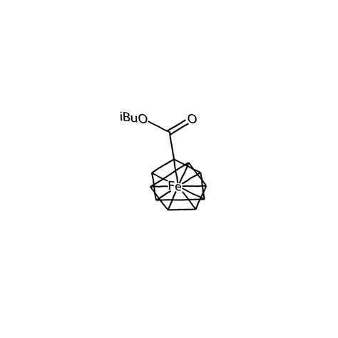 CC(C)COC(=O)[C]12[CH]3[CH]4[CH]5[CH]1[Fe]45321678[CH]2[CH]1[CH]6[CH]7[CH]28